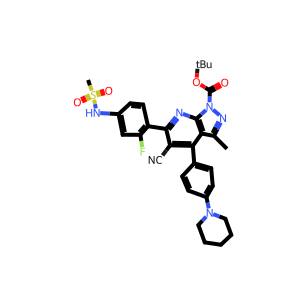 Cc1nn(C(=O)OC(C)(C)C)c2nc(-c3ccc(NS(C)(=O)=O)cc3F)c(C#N)c(-c3ccc(N4CCCCC4)cc3)c12